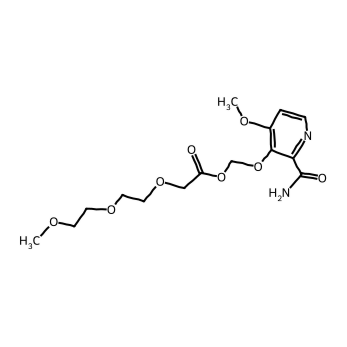 COCCOCCOCC(=O)OCOc1c(OC)ccnc1C(N)=O